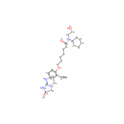 COc1c(OCCCCCCC(=O)N(CCO)C2CCCCC2)ccc2c1CN1CC(=O)NC1=N2